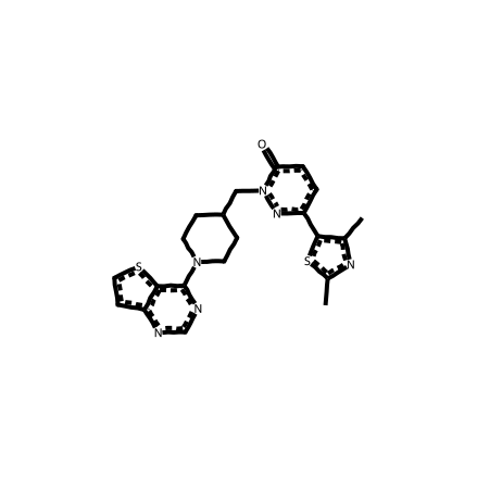 Cc1nc(C)c(-c2ccc(=O)n(CC3CCN(c4ncnc5ccsc45)CC3)n2)s1